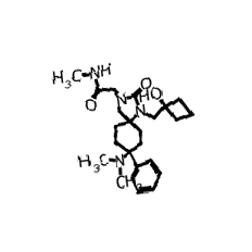 CNC(=O)CN1CC2(CCC(c3ccccc3)(N(C)C)CC2)N(CC2(O)CCC2)C1=O